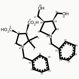 CC1(C)[C@H](C(=O)O)[C@H](C(=O)O)CN1Cc1ccccc1.OC[C@@H]1CN(Cc2ccccc2)C[C@@H]1CO